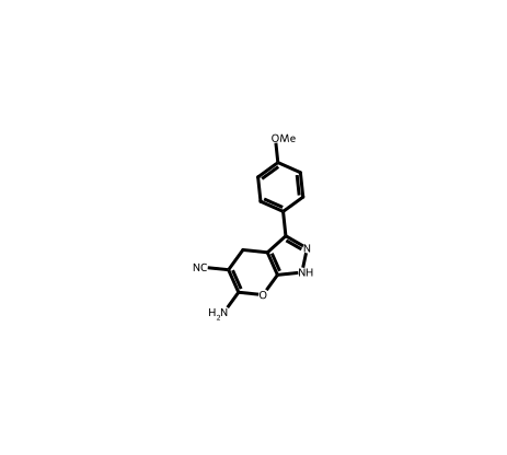 COc1ccc(-c2n[nH]c3c2CC(C#N)=C(N)O3)cc1